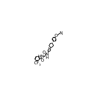 CN(C)CCOc1ccc([C@H]2CC[C@@H](N3CC(NC(=O)CNC(=O)c4cccc(C(F)(F)F)c4)C3)CC2)cc1